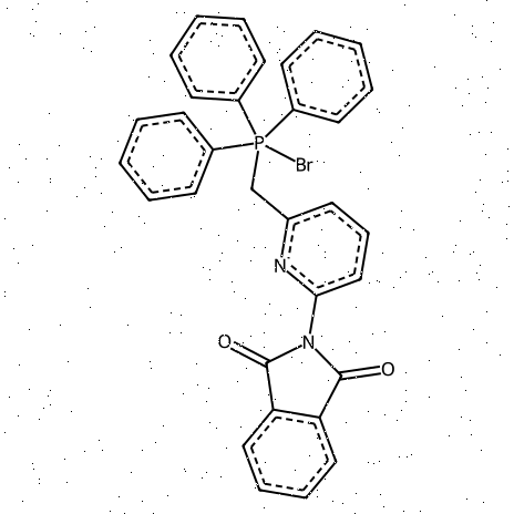 O=C1c2ccccc2C(=O)N1c1cccc(CP(Br)(c2ccccc2)(c2ccccc2)c2ccccc2)n1